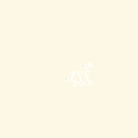 [Eu+3].[Eu+3].[O-][O-].[O-][O-].[O-][O-]